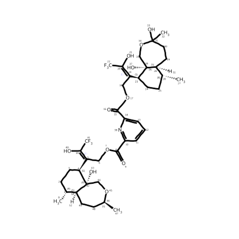 C[C@@H]1CC[C@@H](/C(COC(=O)c2cccc(C(=O)OC/C(=C(/O)C(F)(F)F)[C@@H]3CC[C@@H](C)[C@@H]4CCC(C)(O)OC[C@]34O)n2)=C(\O)C(F)(F)F)[C@@]2(O)CO[C@@H](C)CC[C@@H]12